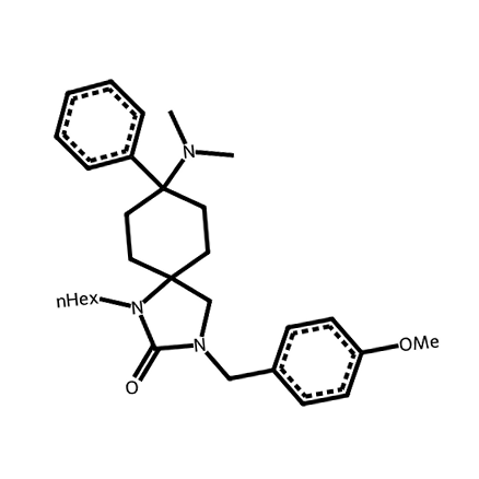 CCCCCCN1C(=O)N(Cc2ccc(OC)cc2)CC12CCC(c1ccccc1)(N(C)C)CC2